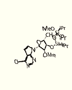 CO[C@@H]1[C@H](O[SiH](O[Si](OC)(C(C)C)C(C)C)C(C)C)[C@@H](C)O[C@H]1n1ccc2c(Cl)ncnc21